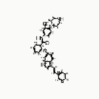 O=C(Nc1ccc(N2CCNCC2)c(C(F)(F)F)c1)c1ccccc1Sc1ccc2c(/C=C/c3ccccc3)n[nH]c2c1